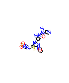 CS(=O)(=O)N1CCN(Cc2cc3nc(-c4ccc(NC(=O)Nc5ccncc5)cc4)nc(N4CC5CCC(C4)O5)c3s2)CC1